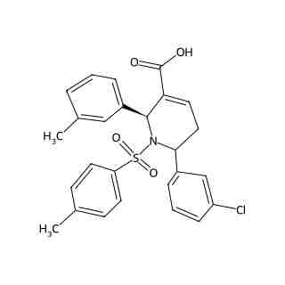 Cc1ccc(S(=O)(=O)N2C(c3cccc(Cl)c3)CC=C(C(=O)O)[C@@H]2c2cccc(C)c2)cc1